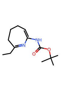 CCC1=NC(NC(=O)OC(C)(C)C)=CCCC1